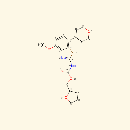 COc1ccc(C2CCOCC2)c2sc(NC(=O)OCC3CCCO3)nc12